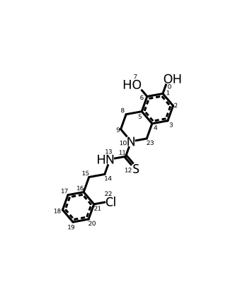 Oc1ccc2c(c1O)CCN(C(=S)NCCc1ccccc1Cl)C2